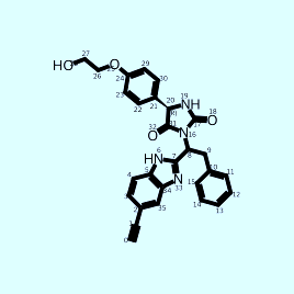 C#Cc1ccc2[nH]c(C(Cc3ccccc3)N3C(=O)N[C@H](c4ccc(OCCO)cc4)C3=O)nc2c1